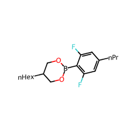 CCCCCCC1COB(c2c(F)cc(CCC)cc2F)OC1